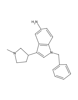 CN1CCC(c2cn(Cc3ccccc3)c3ccc(N)cc23)C1